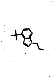 CC(C)(C)c1ccnc2c1ccn2CCF